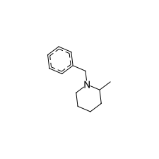 CC1CCCCN1Cc1ccccc1